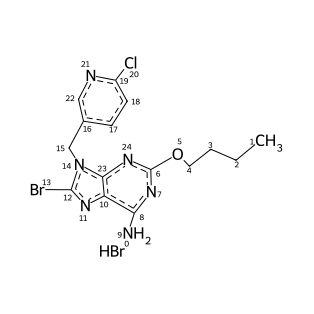 Br.CCCCOc1nc(N)c2nc(Br)n(Cc3ccc(Cl)nc3)c2n1